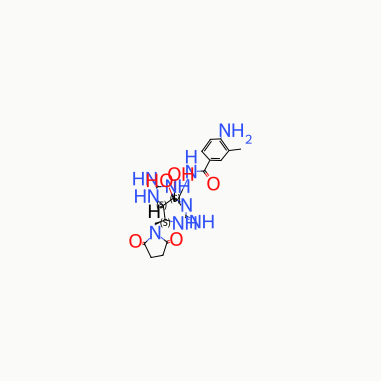 Cc1cc(C(=O)NC2CN3C(=N)N[C@@H](CN4C(=O)CCC4=O)[C@@H]4NC(=N)N[C@@]43C2(O)O)ccc1N